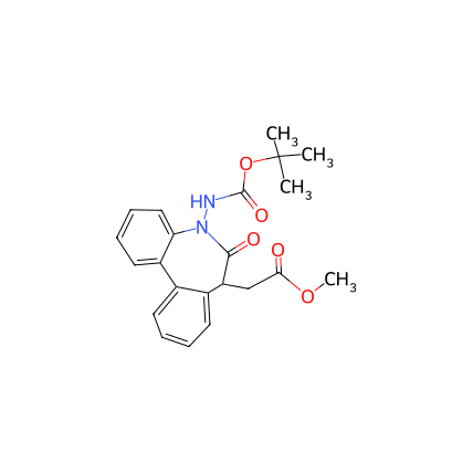 COC(=O)CC1C(=O)N(NC(=O)OC(C)(C)C)c2ccccc2-c2ccccc21